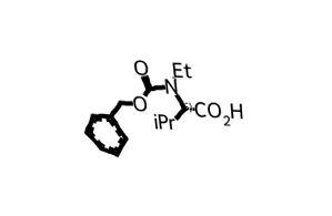 CCN(C(=O)OCc1ccccc1)[C@H](C(=O)O)C(C)C